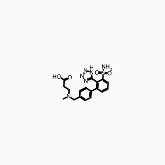 CN(CCC(=O)O)Cc1ccc(-c2cccc(S(N)(=O)=O)c2-c2nnn[nH]2)cc1